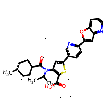 CC1CCC(C(=O)N(c2cc(-c3ccc(-c4cc5ncccc5o4)nc3)sc2C(=O)O)C(C)C)CC1